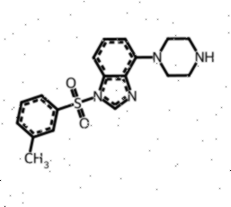 Cc1cccc(S(=O)(=O)n2cnc3c(N4CCNCC4)cccc32)c1